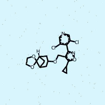 Clc1cncc(Cl)c1-c1noc(C2CC2)c1COC1CC2CC[C@@H](C1)C21OCCO1